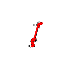 Cc1ncsc1-c1ccc(CNC(=O)[C@@H]2C[C@@H](O)CN2C(=O)[C@H](c2cc(OCCOCCOCCOCCOCCn3cc(-c4cc(-c5ccccc5O)nnc4N)cn3)no2)C(C)C)cc1